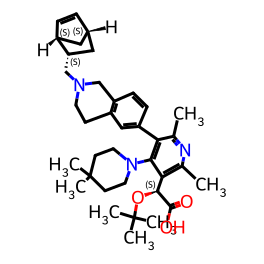 Cc1nc(C)c([C@H](OC(C)(C)C)C(=O)O)c(N2CCC(C)(C)CC2)c1-c1ccc2c(c1)CCN(C[C@H]1C[C@H]3C=C[C@@H]1C3)C2